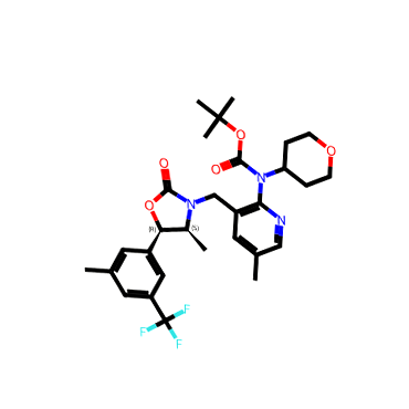 Cc1cc([C@H]2OC(=O)N(Cc3cc(C)cnc3N(C(=O)OC(C)(C)C)C3CCOCC3)[C@H]2C)cc(C(F)(F)F)c1